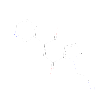 NCCn1ccc2c1C(=O)C=C(c1cccnc1)C2=O